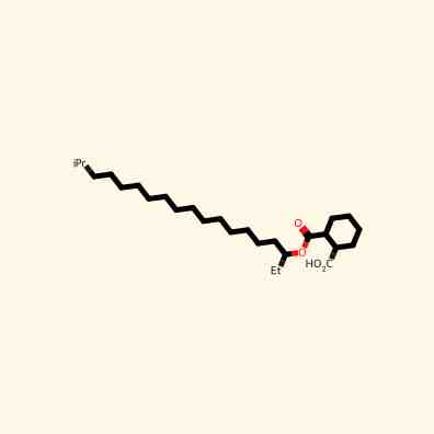 CCC(CCCCCCCCCCCCCCC(C)C)OC(=O)C1CCCCC1C(=O)O